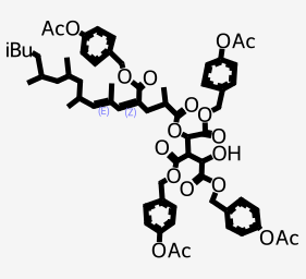 CCC(C)CC(C)CC(C)CC(C)/C=C(C)/C=C(/CC(C)C(=O)OC(C(=O)OCc1ccc(OC(C)=O)cc1)C(C(=O)OCc1ccc(OC(C)=O)cc1)C(O)C(=O)OCc1ccc(OC(C)=O)cc1)C(=O)OCc1ccc(OC(C)=O)cc1